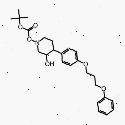 CC(C)(C)OC(=O)ON1CCC(c2ccc(OCCCOc3ccccc3)cc2)C(O)C1